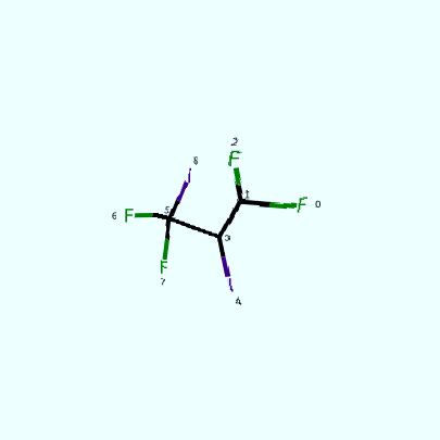 FC(F)C(I)C(F)(F)I